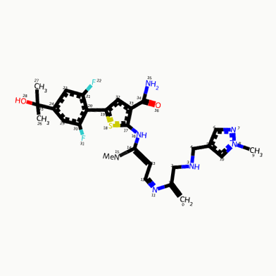 C=C(CNCc1cnn(C)c1)/N=C\C=C(/NC)Nc1sc(-c2c(F)cc(C(C)(C)O)cc2F)cc1C(N)=O